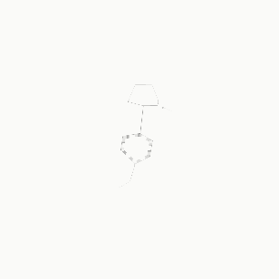 CN1CCCC1c1ccc(CO)cc1